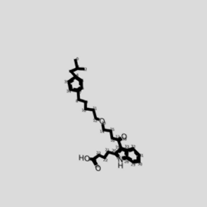 CC(C)Cc1ccc(CCCCCOCCCC(=O)c2c(CCCC(=O)O)[nH]c3ccccc23)cc1